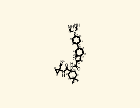 N#CC1(NC(=O)C2(NC(=O)c3cc4ccc(-c5ccc(N(C=N)C=N)cc5)cc4o3)CCC(F)(F)CC2)CC1